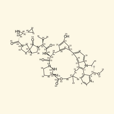 CCn1c(-c2cccnc2[C@H](C)OC)c2c3cc(ccc31)-c1cc(O)cc(c1)C[C@H](NC(=O)[C@H](C(C)C)N1CC[C@]3(CCN(C(=O)[C@@H]4N[C@@H]4C4CC4)C3)C1=O)C(=O)N1CCC[C@H](N1)C(=O)OCC(C)(C)C2